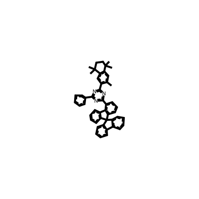 Cc1cc2c(cc1-c1nc(-c3ccccc3)nc(-c3cccc4c3-c3ccccc3C43c4ccccc4-c4ccccc43)n1)C(C)(C)CCC2(C)C